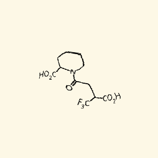 O=C(O)C1CCCCN1C(=O)CC(C(=O)O)C(F)(F)F